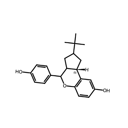 CC(C)(C)C1CC2C(c3ccc(O)cc3)Oc3ccc(O)cc3[C@H]2C1